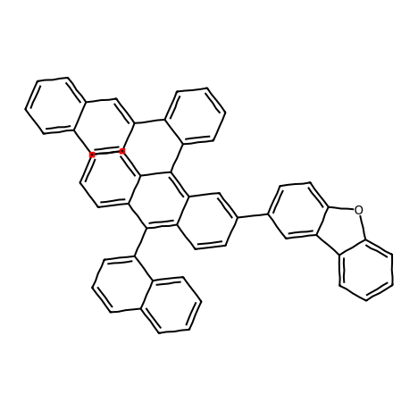 c1ccc(-c2c3ccccc3c(-c3cccc4ccccc34)c3ccc(-c4ccc5oc6ccccc6c5c4)cc23)c(-c2ccc3ccccc3c2)c1